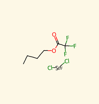 CCCCOC(=O)C(F)(F)F.[Cl][Sn][Cl]